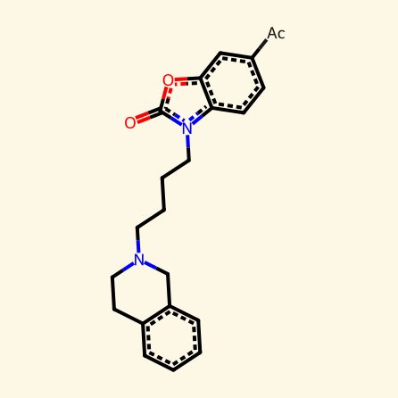 CC(=O)c1ccc2c(c1)oc(=O)n2CCCCN1CCc2ccccc2C1